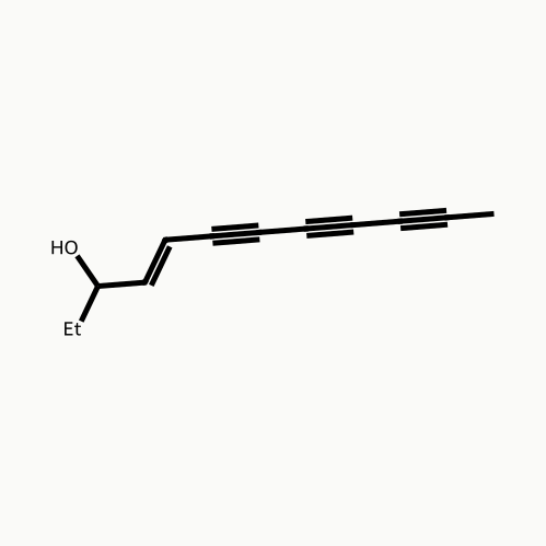 CC#CC#CC#CC=CC(O)CC